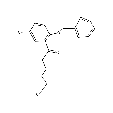 O=C(CCCCCl)c1cc(Cl)ccc1OCc1ccccc1